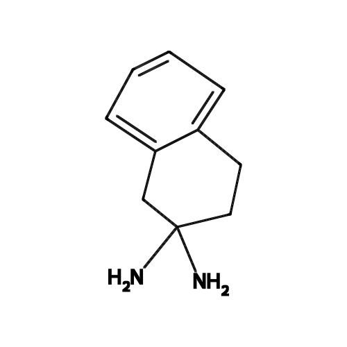 NC1(N)CCc2ccccc2C1